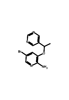 CC(Oc1cc(Br)cnc1N)c1cncnc1